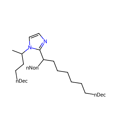 CCCCCCCCCCCCCCCCC(CCCCCCCCC)c1nccn1C(C)CCCCCCCCCCCC